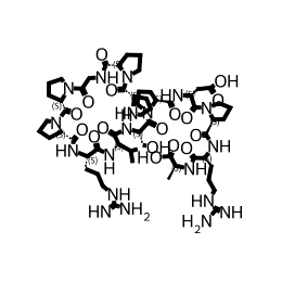 CC(C)[C@H](NC(=O)[C@H](CCCNC(=N)N)NC(=O)[C@@H]1CCCN1C(=O)[C@@H]1CCCN1C(=O)CNC(=O)[C@@H]1CCCN1C(=O)[C@@H]1CCCN1)C(=O)N[C@@H](CO)C(=O)N1CCC[C@H]1C(=O)N[C@@H](CC(=O)O)C(=O)N1CCC[C@H]1C(=O)N[C@@H](CCCNC(=N)N)C(=O)N[C@@H](C)C(=O)O